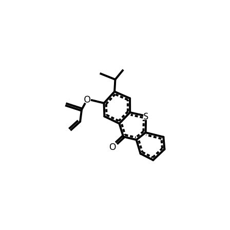 C=CC(=C)Oc1cc2c(=O)c3ccccc3sc2cc1C(C)C